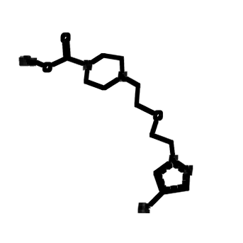 CCc1cnn(CCOCCN2CCN(C(=O)OC(C)(C)C)CC2)c1